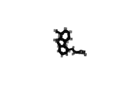 C=PCc1cccc2sc3c(I)cccc3c12